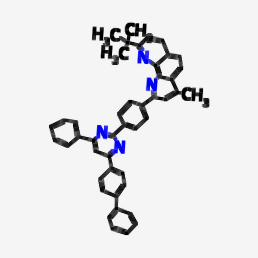 Cc1cc(-c2ccc(-c3nc(-c4ccccc4)cc(-c4ccc(-c5ccccc5)cc4)n3)cc2)nc2c1ccc1ccc(C(C)(C)C)nc12